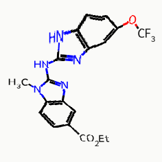 CCOC(=O)c1ccc2c(c1)nc(Nc1nc3cc(OC(F)(F)F)ccc3[nH]1)n2C